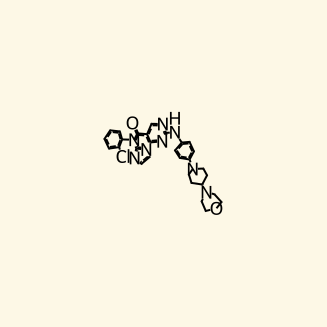 O=c1c2cnc(Nc3ccc(N4CCC(N5CCOCC5)CC4)cc3)nc2n2ccnc2n1-c1ccccc1Cl